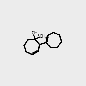 CC1(C)[CH]CCC=CC1C1=CCCCCC1